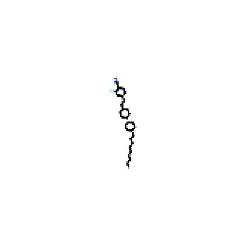 CCCCCCCCC[C@H]1CC[C@H](C2CCC(CCc3ccc(C#N)c(F)c3)CC2)CC1